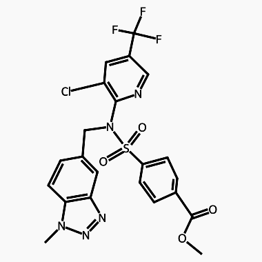 COC(=O)c1ccc(S(=O)(=O)N(Cc2ccc3c(c2)nnn3C)c2ncc(C(F)(F)F)cc2Cl)cc1